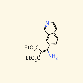 CCOC(=O)C(C(=O)OCC)=C(N)c1ccc2ccncc2c1